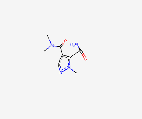 CN(C)C(=O)c1cnn(C)c1C(N)=O